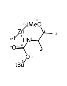 COC(I)C(C)NC(=O)OC(C)(C)C.[I][Zn][I]